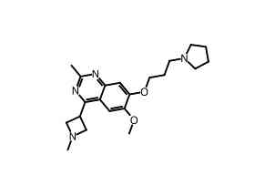 COc1cc2c(C3CN(C)C3)nc(C)nc2cc1OCCCN1CCCC1